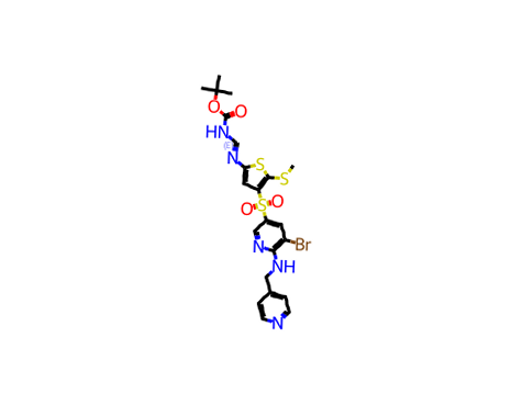 CSc1sc(/N=C/NC(=O)OC(C)(C)C)cc1S(=O)(=O)c1cnc(NCc2ccncc2)c(Br)c1